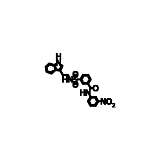 O=C(Nc1cccc([N+](=O)[O-])c1)c1cccc(S(=O)(=O)NCCc2c[nH]c3ccccc23)c1